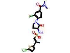 C/C(=C\S(=O)(=O)NC1CCN(c2ccc(C(=O)N(C)C)cc2F)C1=O)c1ccc(Cl)s1